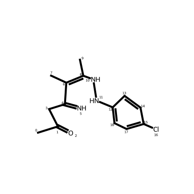 CC(=O)CC(=N)C(C)=C(C)NNc1ccc(Cl)cc1